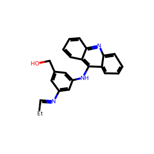 CCC=Nc1cc(CO)cc(Nc2c3ccccc3nc3ccccc23)c1